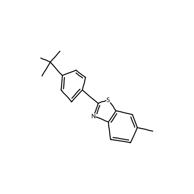 Cc1ccc2nc(-c3ccc(C(C)(C)C)cc3)sc2c1